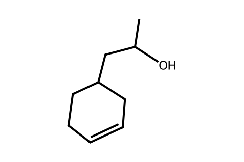 CC(O)CC1CC=CCC1